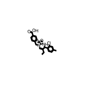 CCC1=CN(Cc2ccc(C(=O)O)cc2)S(=O)(=O)NC1c1ccc(C)cc1Cl